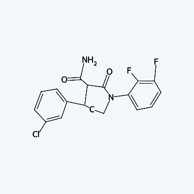 NC(=O)C1C(=O)N(c2cccc(F)c2F)CCC1c1cccc(Cl)c1